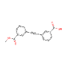 COC(=O)c1cccc(C#Cc2cccc(C(=O)O)c2)c1